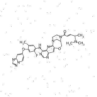 Cc1cc(Nc2ncnc3cc4c(nc23)N2CCN(C(=O)/C=C/C(C)N(C)C)C(CO4)C2)c(F)cc1Oc1ccn2ncnc2c1